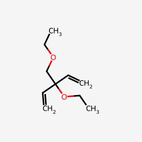 C=CC(C=C)(COCC)OCC